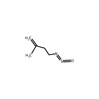 C=C(C)CCN=S=O